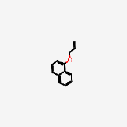 C=CCOc1cccc2ccccc12